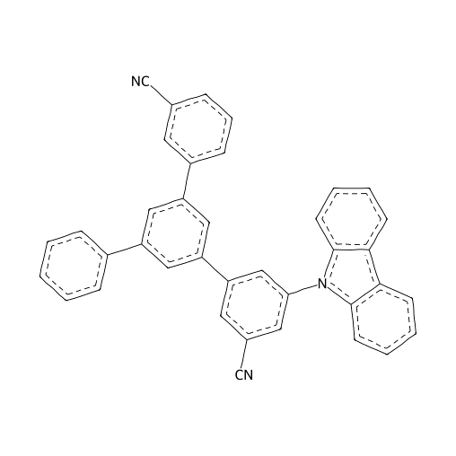 N#Cc1cccc(-c2cc(-c3ccccc3)cc(-c3cc(C#N)cc(-n4c5ccccc5c5ccccc54)c3)c2)c1